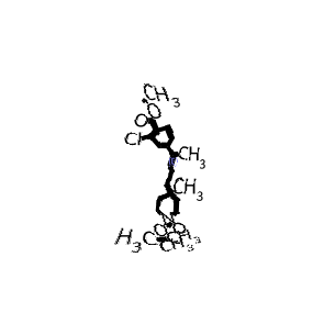 CCOC(=O)c1ccc(/C(C)=C/CCC2(C)CCN(C(=O)OC(C)(C)C)CC2)cc1Cl